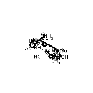 CC(=O)N1CC[C@H]2CC[C@@H](C(=O)N[C@@H](CCC(N)=O)COc3cccc(CCCCCC(=O)N[C@H](C(=O)N4C[C@H](O)C[C@H]4C(=O)N[C@@H](C)c4ccc(-c5scnc5C)cc4)C(C)(C)C)c3F)N2C(=O)[C@@H](N)C1.Cl